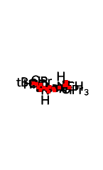 CC(C)[C@@H](C)C(=O)N1CCC[C@H]1c1ncc(-c2ccc([C@H]3CC[C@H](NC(=O)[C@@H]4CCCN4C(=O)[C@H](NC(=O)OC(C)(C)C)C(C)C)CC3)cc2)[nH]1